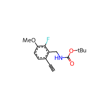 C#Cc1ccc(OC)c(F)c1CNC(=O)OC(C)(C)C